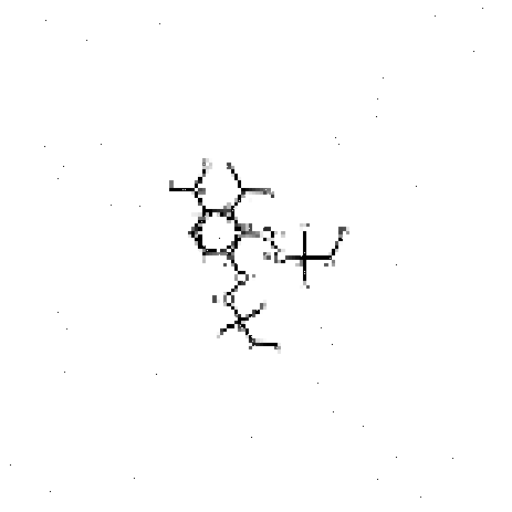 CCC(C)(C)OOc1ccc(C(C)C)c(C(C)C)c1OOC(C)(C)CC